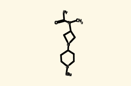 CC(C)C(=O)N(C)C1CN(C2CCN(C(C)(C)C)CC2)C1